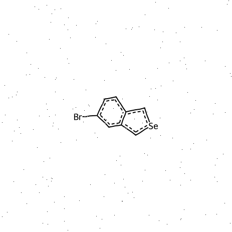 Brc1ccc2c[se]cc2c1